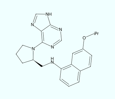 CC(C)Oc1ccc2cccc(NC[C@H]3CCCN3c3ncnc4[nH]cnc34)c2c1